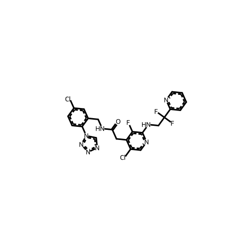 O=C(Cc1c(Cl)cnc(NCC(F)(F)c2ccccn2)c1F)NCc1cc(Cl)ccc1-n1cnnn1